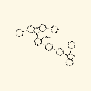 COc1c(-c2ccc(-c3ccc(-n4c(-c5ccccc5)nc5ccccc54)cc3)cc2)cccc1-n1c2cc(-c3ccccc3)ccc2c2ccc(-c3ccccc3)cc21